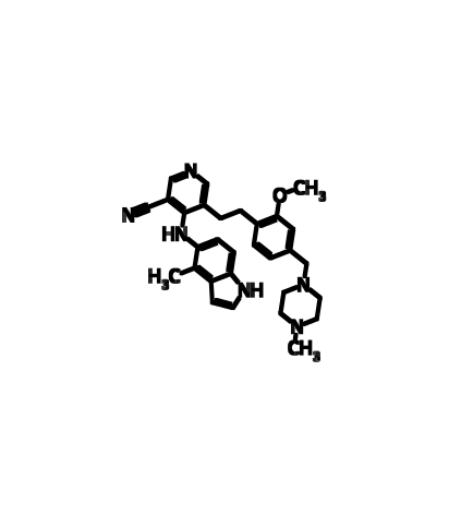 COc1cc(CN2CCN(C)CC2)ccc1CCc1cncc(C#N)c1Nc1ccc2[nH]ccc2c1C